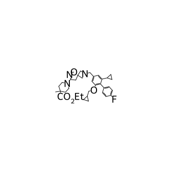 CCOC(=O)C1(C)CCN(C2=NOC3(C2)CN(Cc2cc(OCC4CC4)c(-c4ccc(F)cc4)c(C4CC4)c2)C3)CC1